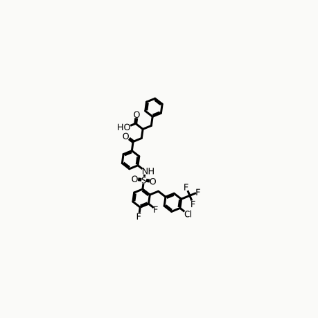 O=C(CC(Cc1ccccc1)C(=O)O)c1cccc(NS(=O)(=O)c2ccc(F)c(F)c2Cc2ccc(Cl)c(C(F)(F)F)c2)c1